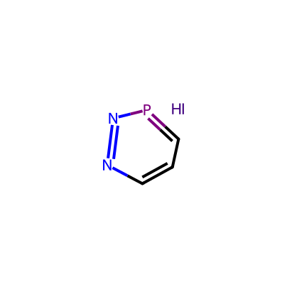 I.c1cnnpc1